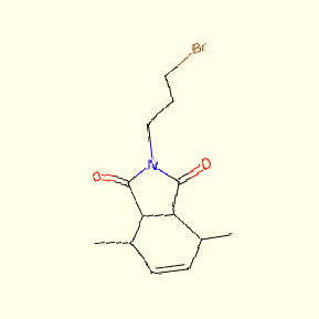 CC1C=CC(C)C2C(=O)N(CCCBr)C(=O)C12